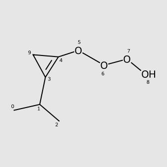 CC(C)C1=C(OOOO)C1